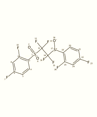 O=S(=O)(c1ccc(F)cc1F)C(F)(F)C(F)(F)[S+]([O-])c1ccc(F)cc1F